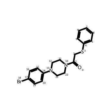 O=C(CSc1cc[c]cc1)N1CCN(c2ccc(Br)cc2)CC1